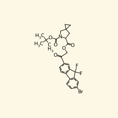 CC(C)(C)OC(=O)N1CC2(CC2)CC1C(=O)OCC(=O)c1ccc2c(c1)C(F)(F)c1cc(Br)ccc1-2